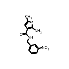 Cc1cc(C(=O)NCc2cccc([N+](=O)[O-])c2)c(N)s1